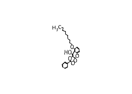 CCCCCCCCCCOc1cccc2oc(=O)c(OC(=O)c3ccccc3)c(O)c12